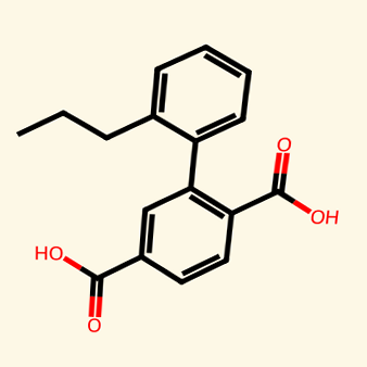 CCCc1ccccc1-c1cc(C(=O)O)ccc1C(=O)O